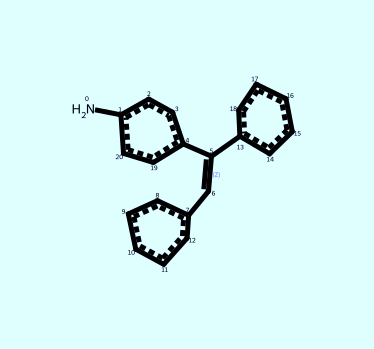 Nc1ccc(/C(=C\c2ccccc2)c2ccccc2)cc1